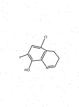 Oc1c(I)cc(Cl)c2c1N=CCC2